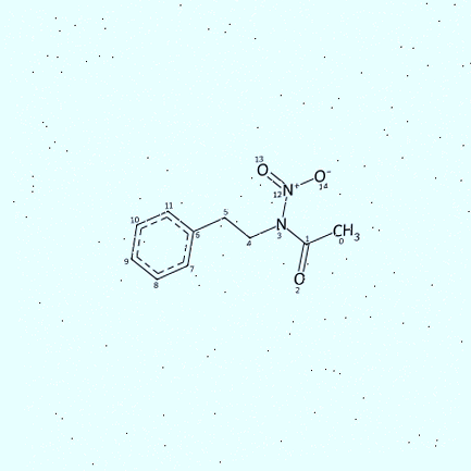 CC(=O)N(CCc1ccccc1)[N+](=O)[O-]